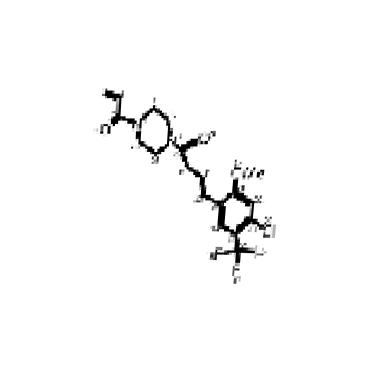 C=CC(=O)N1CCN(C(=O)CCCc2cc(C(F)(F)I)c(Cl)cc2OC)CC1